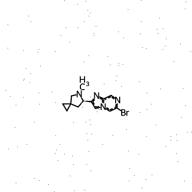 CN1CC2(CC2)C[C@@H]1c1cn2cc(Br)ncc2n1